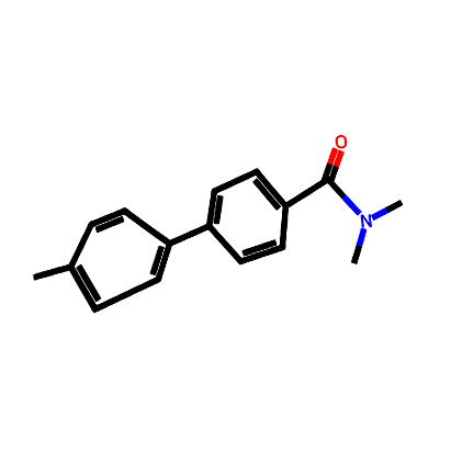 Cc1ccc(-c2ccc(C(=O)N(C)C)cc2)cc1